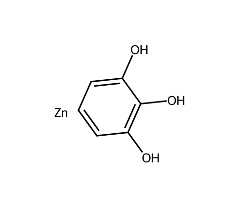 Oc1cccc(O)c1O.[Zn]